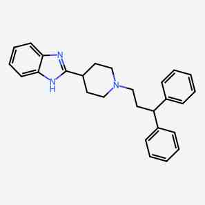 c1ccc(C(CCN2CCC(c3nc4ccccc4[nH]3)CC2)c2ccccc2)cc1